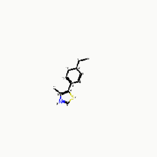 CCC1C=CC(c2scnc2C)=CC1